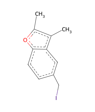 Cc1oc2ccc(CI)cc2c1C